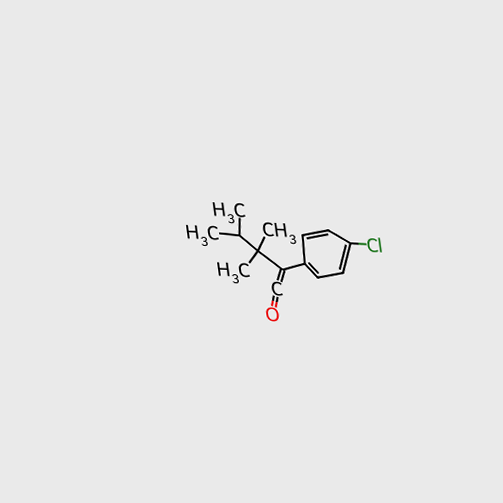 CC(C)C(C)(C)C(=C=O)c1ccc(Cl)cc1